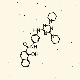 O=C(Nc1ccc(Nc2nc(N3CCCCC3)nc(N3CCCCC3)n2)cc1)c1ccc2ccccc2c1O